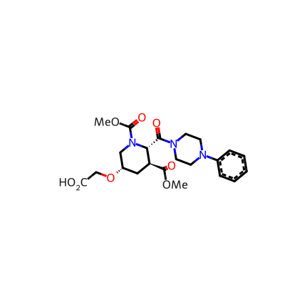 COC(=O)[C@H]1C[C@H](OCC(=O)O)CN(C(=O)OC)[C@@H]1C(=O)N1CCN(c2ccccc2)CC1